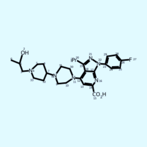 CC(O)CN1CCC(N2CCN(c3cc(C(=O)O)nc4c3c(C(C)C)nn4-c3ccc(F)cc3)CC2)CC1